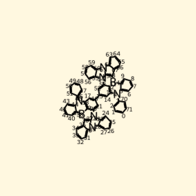 c1ccc(N2c3ccccc3B3c4c2cc(-c2cc5c6c(c2)-n2c7ccccc7n7c8ccccc8c(c27)B6c2ccccc2N5c2ccccc2)cc4-n2c4ccccc4n4c5ccccc5c3c24)cc1